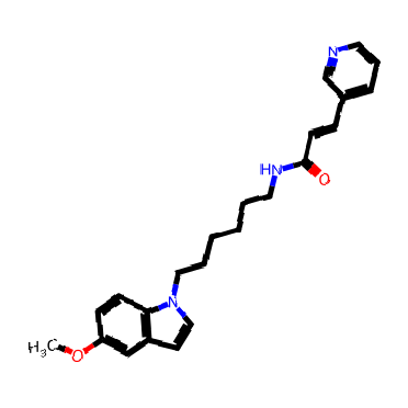 COc1ccc2c(ccn2CCCCCCNC(=O)/C=C/c2cccnc2)c1